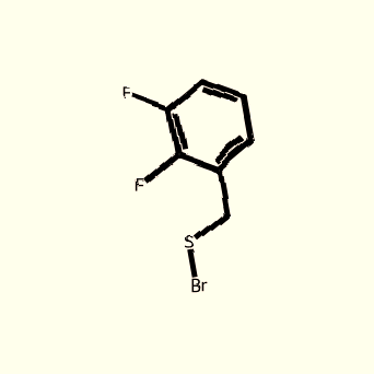 Fc1cccc(CSBr)c1F